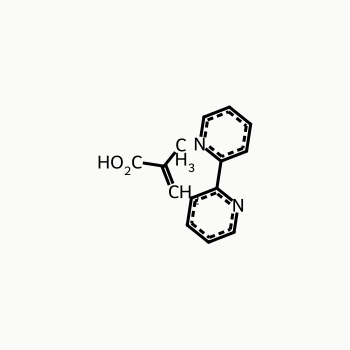 C=C(C)C(=O)O.c1ccc(-c2ccccn2)nc1